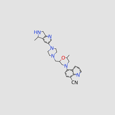 CC1CN(c2ccc(C#N)c3ncccc23)CC(CN2CCN(c3cnc4c(c3)C(C)NC4)CC2)O1